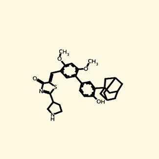 COc1cc(OC)c(-c2ccc(O)c(C34CC5CC(CC(C5)C3)C4)c2)cc1C=C1SC(C2CCNC2)=NC1=O